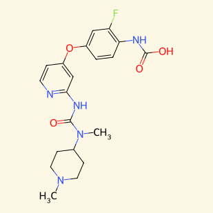 CN1CCC(N(C)C(=O)Nc2cc(Oc3ccc(NC(=O)O)c(F)c3)ccn2)CC1